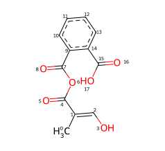 CC(=CO)C(=O)OC(=O)c1ccccc1C(=O)O